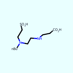 CCCCN(CCNCCC(=O)O)CCS(=O)(=O)O